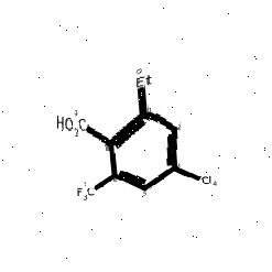 CCc1cc(Cl)cc(C(F)(F)F)c1C(=O)O